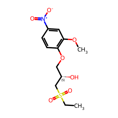 CCS(=O)(=O)C[C@@H](O)COc1ccc([N+](=O)[O-])cc1OC